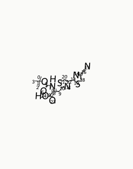 CC(C)(C)OC(=O)N[C@@H](Cc1nc(-c2nc(C#N)cs2)cs1)C(=O)O